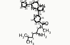 CC(C)CCC(N)CN(C)C(=O)c1ccnc(-c2cnn3ccc(-c4cccs4)nc23)c1